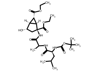 CCOC(=O)[C@H]1[C@H]2[C@@H]1[C@](NC(=O)C(C)NC(=O)[C@H](CC(C)C)NC(=O)OC(C)(C)C)(C(=O)OCC)C[C@@H]2O